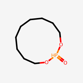 O=[PH]1OCCCCCCCCCO1